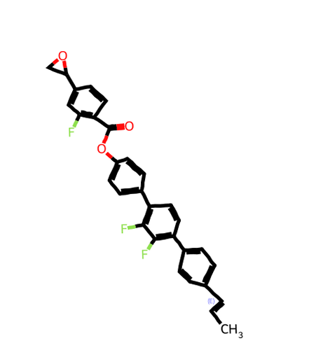 C/C=C/c1ccc(-c2ccc(-c3ccc(OC(=O)c4ccc(C5CO5)cc4F)cc3)c(F)c2F)cc1